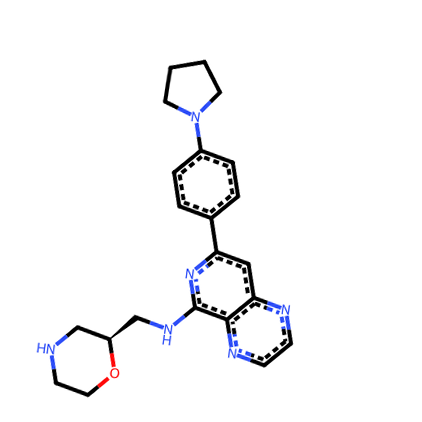 c1cnc2c(NC[C@@H]3CNCCO3)nc(-c3ccc(N4CCCC4)cc3)cc2n1